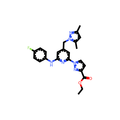 CCOC(=O)c1ccn(-c2cc(Cn3nc(C)cc3C)cc(Nc3ccc(F)cc3)n2)n1